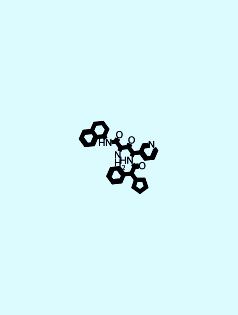 NC(C(=O)NC1CCCc2ccccc21)C(=O)C(NC(=O)C(c1ccccc1)C1CCCC1)c1cccnc1